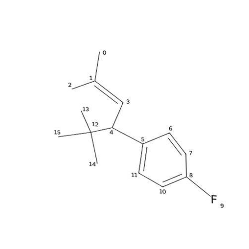 CC(C)=CC(c1ccc(F)cc1)C(C)(C)C